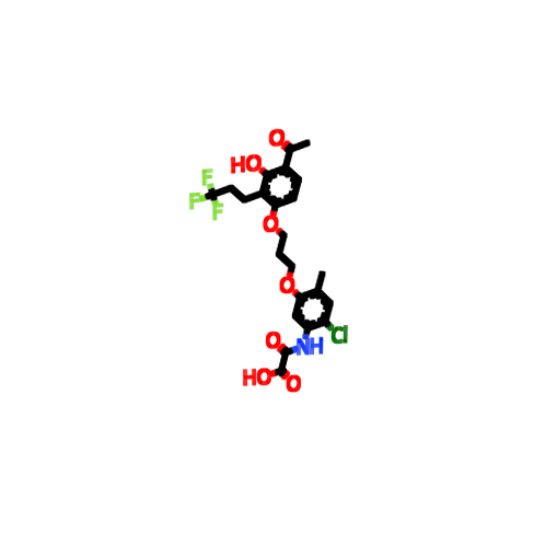 CC(=O)c1ccc(OCCCOc2cc(NC(=O)C(=O)O)c(Cl)cc2C)c(CCC(F)(F)F)c1O